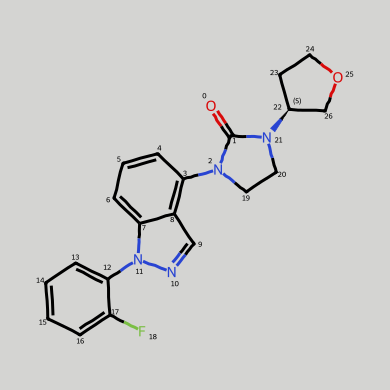 O=C1N(c2cccc3c2cnn3-c2ccccc2F)CCN1[C@H]1CCOC1